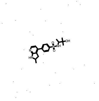 CC1Cc2c(-c3ccc(S(=O)(=O)NC(C)C(C)(C)O)cc3)ccnc2N1